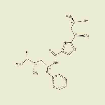 CN[C@H](C[C@@H](OC(C)=O)c1nc(C(=O)N[C@@H](Cc2ccccc2)C[C@H](C)C(=O)OC)cs1)C(C)C